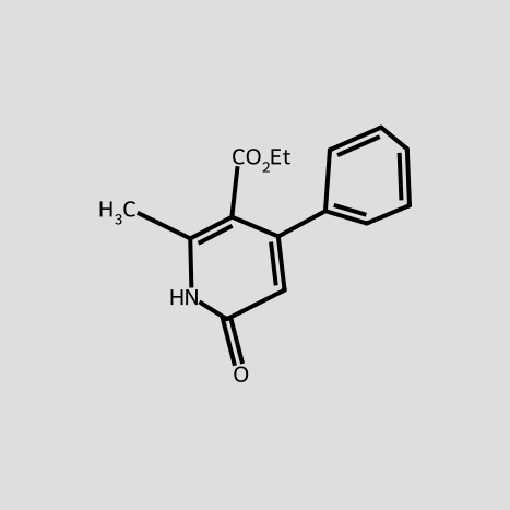 CCOC(=O)c1c(-c2ccccc2)cc(=O)[nH]c1C